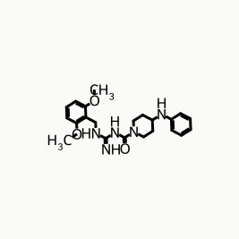 COc1cccc(OC)c1CNC(=N)NC(=O)N1CCC(Nc2ccccc2)CC1